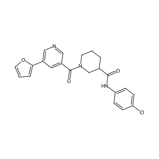 O=C(Nc1ccc(Cl)cc1)C1CCCN(C(=O)c2cncc(-c3ccco3)c2)C1